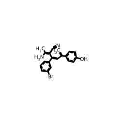 C=C(/C=C(\C(C#N)=C(\C)N)c1cccc(Br)c1)c1ccc(O)cc1